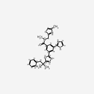 Cc1csc(CN(C)C(=O)c2cc(-c3nnc(C(C)(N)Cc4ccccc4)o3)cc(-c3nccs3)c2)n1